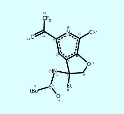 CCC1(N[S+]([O-])C(C)(C)C)COc2c1cc(C(=O)C(F)(F)F)nc2Cl